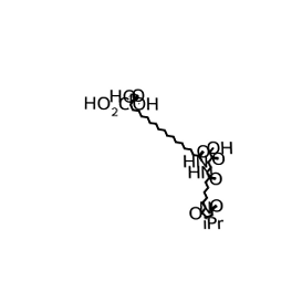 CC(C)C1CC(=O)N(CCCCCC(=O)NCC(NC(=O)CCCCCCCCCCCCCCCC(C(=O)O)P(=O)(O)O)C(=O)CO)C1=O